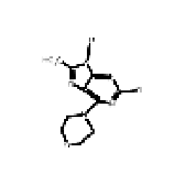 CCn1c(C(=O)O)nc2c(N3CCOCC3)nc(Cl)nc21